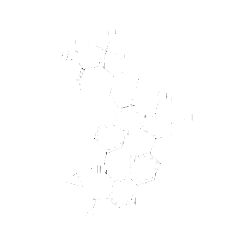 CC(C)(C)N(C(=O)O)C1CCCN(c2ccc(Nc3c(C(=O)C4CC4)cnc4ccc(-c5cc(Cl)c(O)c(Cl)c5)nc34)cn2)C1